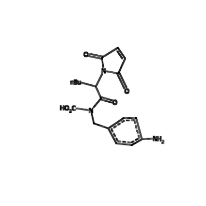 CCCCC(C(=O)N(Cc1ccc(N)cc1)C(=O)O)N1C(=O)C=CC1=O